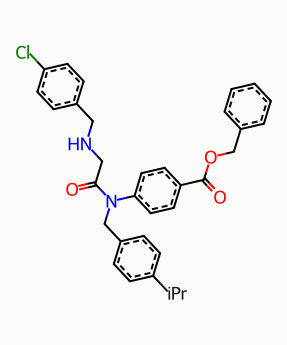 CC(C)c1ccc(CN(C(=O)CNCc2ccc(Cl)cc2)c2ccc(C(=O)OCc3ccccc3)cc2)cc1